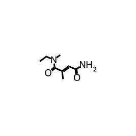 CCN(C)C(=O)C(C)=CC(N)=O